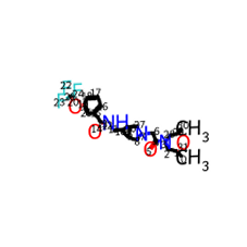 CC1CN(C(=O)CN2CC3C(CNC(=O)c4cccc(OC(F)(F)F)c4)C3C2)CC(C)O1